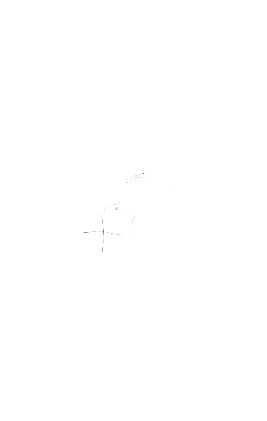 CC1(C)OC[C@@H](/C=C\C=O)O1